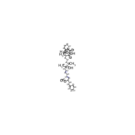 CC(CCCC(C)C(O)[C@H](C)C/C=C/C/C=C/C(CCc1ccccc1)OC=O)C(=O)C(O)(O)C(=O)N1CCCCC1C